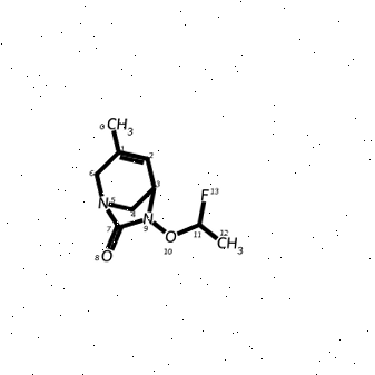 CC1=CC2CN(C1)C(=O)N2OC(C)F